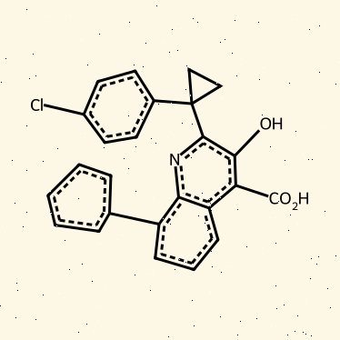 O=C(O)c1c(O)c(C2(c3ccc(Cl)cc3)CC2)nc2c(-c3ccccc3)cccc12